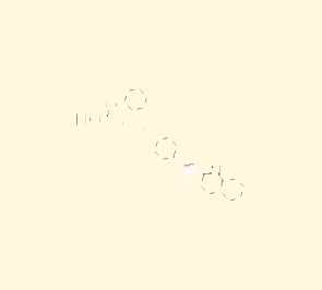 CC(Oc1ccccc1COc1ccc(/C=C/c2ccc3ccccc3n2)cc1)C(=O)O